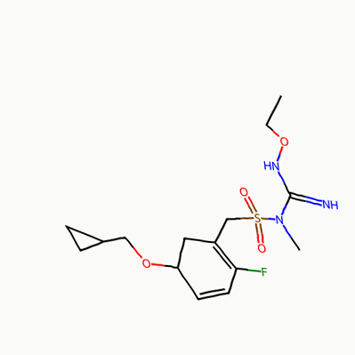 CCONC(=N)N(C)S(=O)(=O)CC1=C(F)C=CC(OCC2CC2)C1